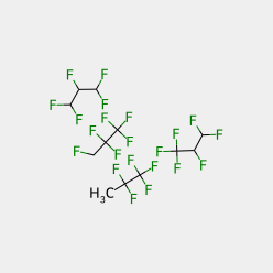 CC(F)(F)C(F)(F)F.FC(F)C(F)C(F)(F)F.FC(F)C(F)C(F)F.FCC(F)(F)C(F)(F)F